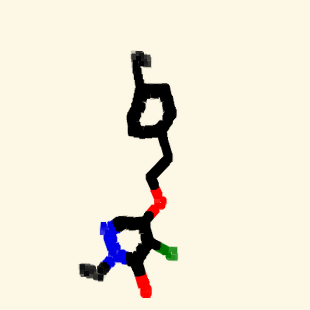 CC(C)(C)c1ccc(CCOc2cnn(C(C)(C)C)c(=O)c2Cl)cc1